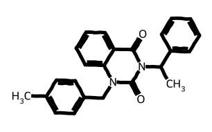 Cc1ccc(Cn2c(=O)n(C(C)c3ccccc3)c(=O)c3ccccc32)cc1